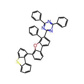 c1ccc(-c2nc(-c3ccccc3)nc(-c3ccc4c(oc5c(-c6cccc7sc8ccccc8c67)cccc54)c3-c3ccccc3)n2)cc1